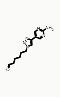 Nc1ncc(-c2cn(CCCCCC=O)nn2)cn1